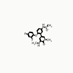 CNc1cc(-c2cc(N[S+](C)[O-])ccc2Oc2ccc(F)cc2F)cn(C)c1=O